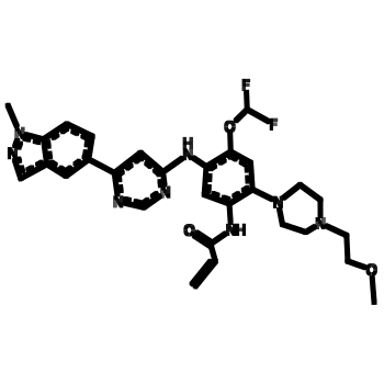 C=CC(=O)Nc1cc(Nc2cc(-c3ccc4c(cnn4C)c3)ncn2)c(OC(F)F)cc1N1CCN(CCOC)CC1